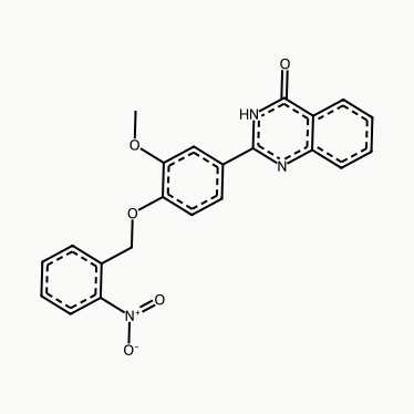 COc1cc(-c2nc3ccccc3c(=O)[nH]2)ccc1OCc1ccccc1[N+](=O)[O-]